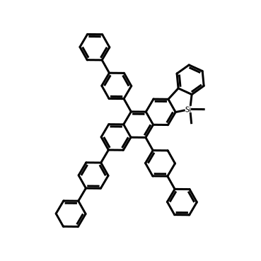 C[Si]1(C)c2ccccc2-c2cc3c(-c4ccc(-c5ccccc5)cc4)c4ccc(-c5ccc(C6=CCCC=C6)cc5)cc4c(C4=CC=C(c5ccccc5)CC4)c3cc21